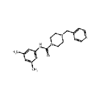 Cc1cc(C)cc(NC(=O)N2CCN(Cc3ccncc3)CC2)c1